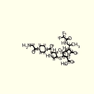 CC(NC(=O)C(F)F)[C@H]1C(=O)N2C(C(=O)O)=C(S[C@@H]3CN[C@H](C(=O)N4CCN(C(=O)CN)CC4)C3)[C@H](C)[C@H]12